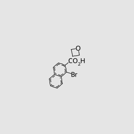 C1COC1.O=C(O)c1ccc2ccccc2c1Br